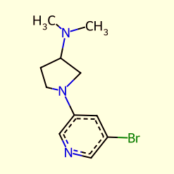 CN(C)C1CCN(c2cncc(Br)c2)C1